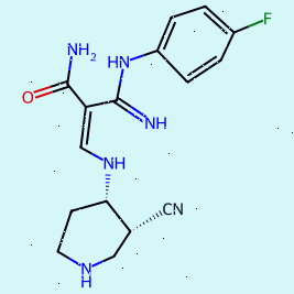 N#C[C@@H]1CNCC[C@@H]1N/C=C(\C(=N)Nc1ccc(F)cc1)C(N)=O